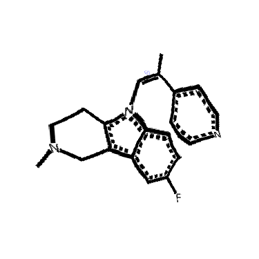 C/C(=C/n1c2c(c3cc(F)ccc31)CN(C)CC2)c1ccncc1